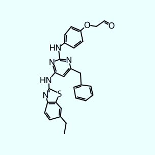 CCc1ccc2nc(Nc3cc(Cc4ccccc4)nc(Nc4ccc(OCC=O)cc4)n3)sc2c1